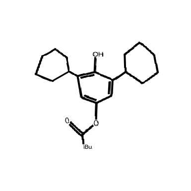 CCC(C)C(=O)Oc1cc(C2CCCCC2)c(O)c(C2CCCCC2)c1